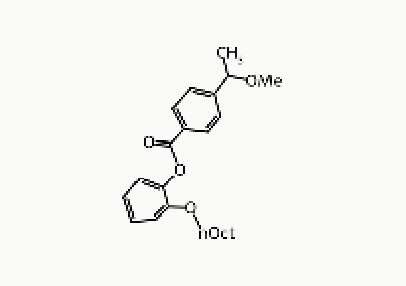 CCCCCCCCOc1ccccc1OC(=O)c1ccc(C(C)OC)cc1